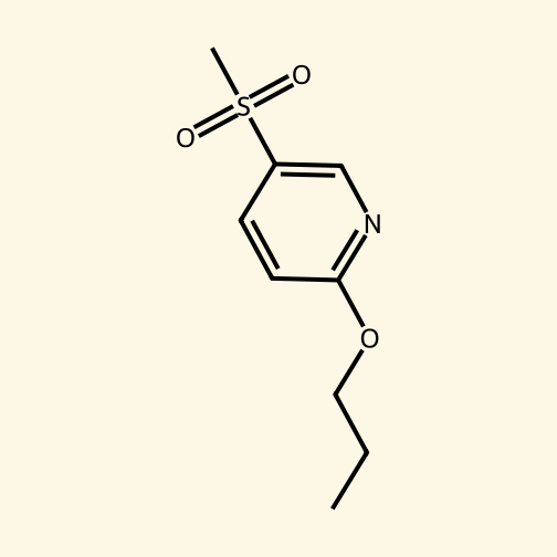 CCCOc1ccc(S(C)(=O)=O)cn1